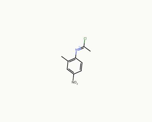 C/C(Cl)=N\c1ccc([N+](=O)[O-])cc1C